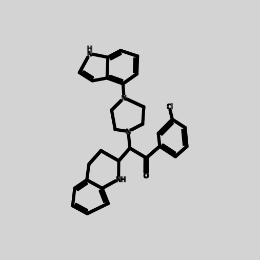 O=C(c1cccc(Cl)c1)C(C1CCc2ccccc2N1)N1CCN(c2cccc3[nH]ccc23)CC1